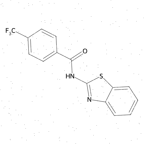 O=C(Nc1nc2ccccc2s1)c1ccc(C(F)(F)F)cc1